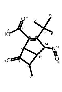 CC1C(=O)C2C(C(=O)O)=C(C(C)(C)C)C(N=O)C12